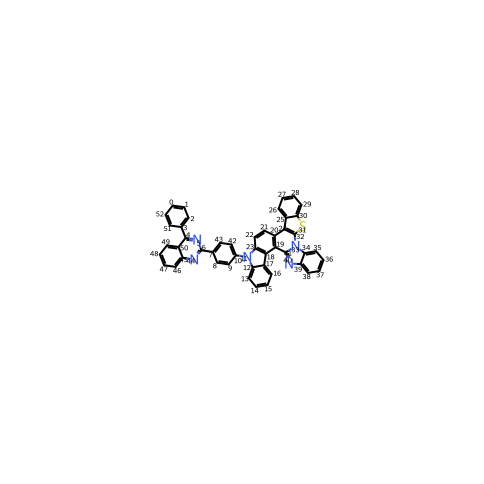 c1ccc(-c2nc(-c3ccc(-n4c5ccccc5c5c6c(ccc54)c4c5ccccc5sc4n4c5ccccc5nc64)cc3)nc3ccccc23)cc1